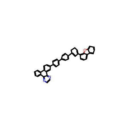 C1=C(c2ccc(-c3ccc(-c4ccc5c6ccccc6c6nccnc6c5c4)cc3)cc2)CCC=C1c1cccc2c1oc1ccccc12